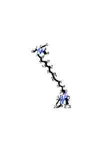 CC[N+](CC)(CC)CCCCCCCCCCCCCC[N+](CC)(CC)CC